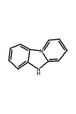 c1ccc2c(c1)[nH]c1cccc[n+]12